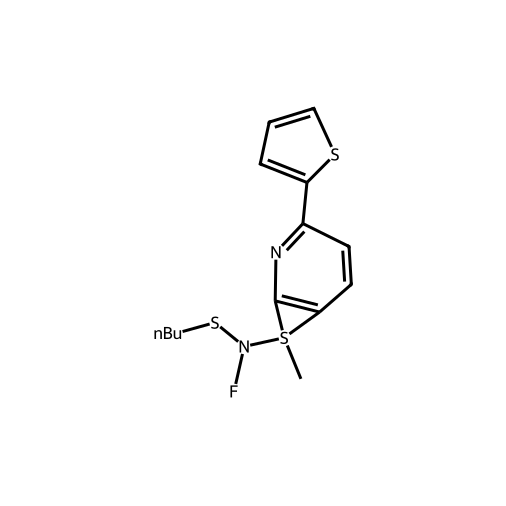 CCCCSN(F)S1(C)c2ccc(-c3cccs3)nc21